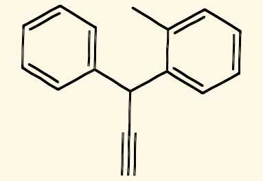 C#CC(c1ccccc1)c1ccccc1C